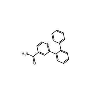 NC(=O)c1ccnc(-c2ccccc2-c2ccccc2)c1